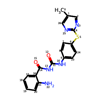 Cc1cnc(Sc2ccc(NC(=O)NC(=O)c3ccccc3N)cc2)nc1